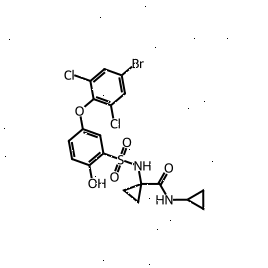 O=C(NC1CC1)C1(NS(=O)(=O)c2cc(Oc3c(Cl)cc(Br)cc3Cl)ccc2O)CC1